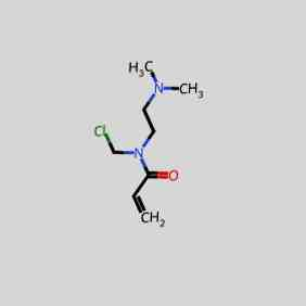 C=CC(=O)N(CCl)CCN(C)C